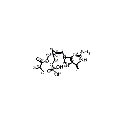 C=C1NC(N)=Nc2c1ncn2/C=C1/C[C@]1(COC(=O)C(C)C)COP(=O)(O)O